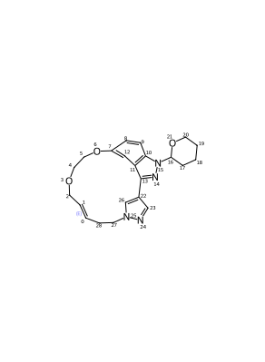 C1=C/COCCOc2ccc3c(c2)c(nn3C2CCCCO2)-c2cnn(c2)CC/1